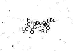 C=C(C)C(=O)OCCC[Si](OCCCC)(OCCCC)OCCCC